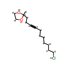 CC1(CCC#CCCCCCCCCl)OCCO1